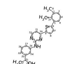 Cc1cccc(-c2ccc(-c3ccnc(Nc4cccc(C(C)O)c4)n3)s2)c1C